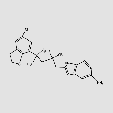 CC(C)(CC(O)(Cc1cc2cc(N)ncc2[nH]1)C(F)(F)F)c1cc(Cl)cc2c1OCC2